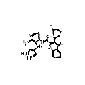 CC(c1oc2ccccc2c(=O)c1-c1cccc(F)c1)n1nc(/C(C=N)=C/N)c2c(N)ncnc21